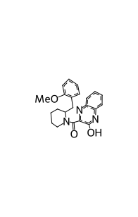 COc1ccccc1CC1CCCCN1C(=O)c1nc2ccccc2nc1O